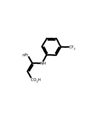 CCC/C(=C/C(=O)O)Nc1cccc(C(F)(F)F)c1